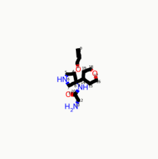 C=CCO[C@@H]1CNC[C@]1(NC(=O)CN)C1CCOCC1